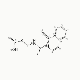 CC(NCC[C@H](C)O)n1ccc2ccccc2c1=O